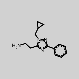 NCCc1nc(-c2ccccc2)nn1CC1CC1